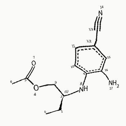 CC[C@@H](COC(C)=O)Nc1ccc(C#N)cc1N